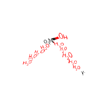 O.O.O.O.O.O.O.O.O.O=[N+]([O-])O.[Y]